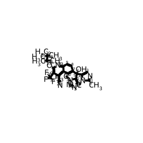 Cc1ncc(C(O)(c2ccc3nc(OC(C)(C)C(C)(C)C)c(C(F)(F)F)c(C#N)c3c2)c2cnnn2C)n1C